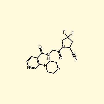 N#CC1CC(F)(F)CN1C(=O)CNC(=O)c1ccncc1N1CCOCC1